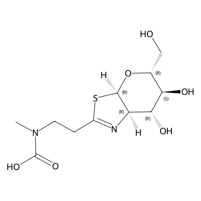 CN(CCC1=N[C@@H]2[C@@H](O)[C@H](O)[C@@H](CO)O[C@@H]2S1)C(=O)O